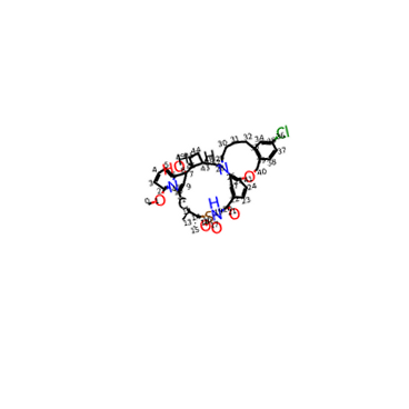 COc1cccc([C@]2(O)/C=C/C[C@H](C)[C@@H](C)S(=O)(=O)NC(=O)c3ccc4c(c3)N(CCCCc3cc(Cl)ccc3CO4)C[C@@H]3CC[C@H]32)n1